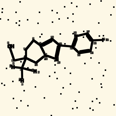 [2H]C([2H])([2H])C1(CO)CCc2cc(-c3ccc(F)cn3)nn2C1